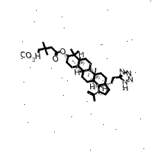 C=C(C)[C@@H]1CC[C@]2(CCc3nnn[nH]3)CC[C@]3(C)[C@H](CC[C@@H]4[C@@]5(C)CC[C@H](OC(=O)CC(C)(C)CC(=O)O)C(C)(C)[C@@H]5CC[C@]43C)[C@@H]12